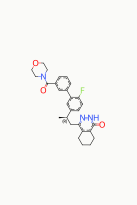 C[C@H](Cc1n[nH]c(=O)c2c1CCCC2)c1ccc(F)c(-c2cccc(C(=O)N3CCOCC3)c2)c1